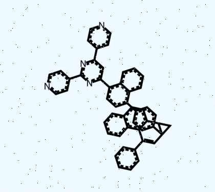 C1=C(c2ccccc2)c2c(ccc3ccccc23)C2CC12c1ccc(-c2ccc(-c3cc(-c4ccncc4)nc(-c4ccncc4)n3)c3ccccc23)cc1